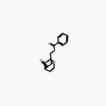 O=C(CCC1C(=O)C2CCN1CC2)c1ccccc1